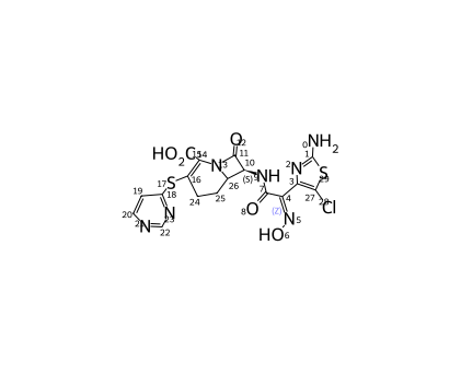 Nc1nc(/C(=N/O)C(=O)N[C@@H]2C(=O)N3C(C(=O)O)=C(Sc4ccncn4)CCC23)c(Cl)s1